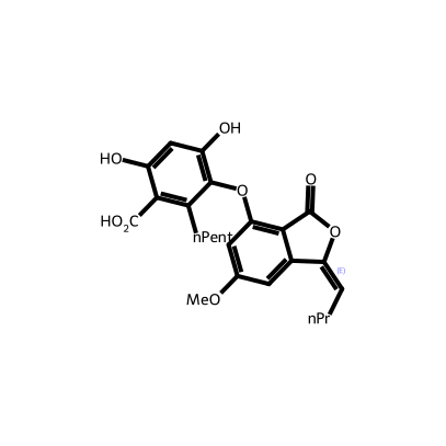 CCC/C=C1/OC(=O)c2c(Oc3c(O)cc(O)c(C(=O)O)c3CCCCC)cc(OC)cc21